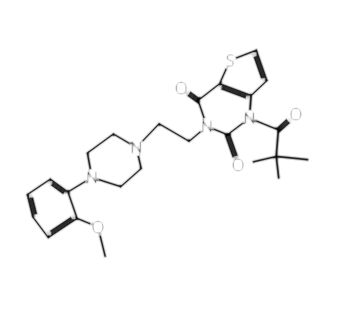 COc1ccccc1N1CCN(CCn2c(=O)c3sccc3n(C(=O)C(C)(C)C)c2=O)CC1